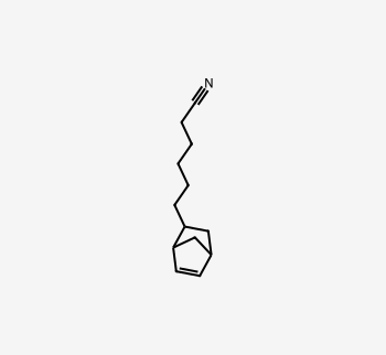 N#CCCCCCC1CC2C=CC1C2